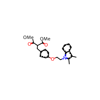 COC(=O)C(Cc1ccc(OCCn2c(C)c(C)c3ccccc32)cc1)C(=O)OC